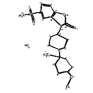 CCOC1CCC(C)(N2CCC(n3c(=O)oc4ccc(S(C)(=O)=O)cc43)CC2)CC1.Cl